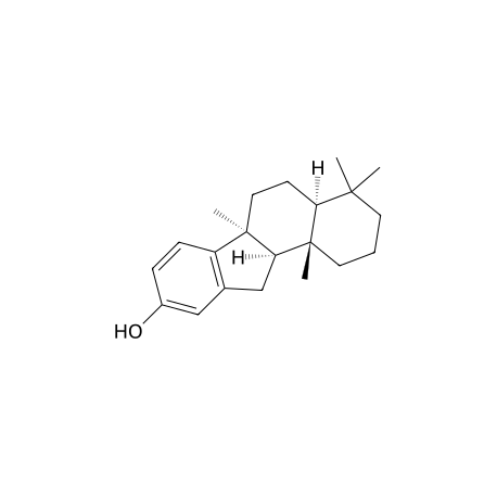 CC1(C)CCC[C@]2(C)[C@H]3Cc4cc(O)ccc4[C@@]3(C)CC[C@@H]12